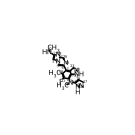 CNc1cn2cc(-c3c(C)c(F)c(N(C)c4ccn[nH]4)c4[nH]ncc34)ncc2n1